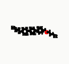 CCC=CCOCc1ccc(-c2ccc(C3CCC(C/C=C/CC)CC3)cc2)cc1